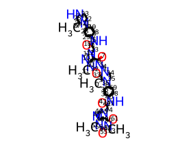 C[C@@H]1CN(Cn2c(=O)c3c(ncn3CC(=O)Nc3ccc(N4CCNC[C@@H]4C)cc3)n(C)c2=O)CCN1c1ccc(NC(=O)Cn2cnc3c2c(=O)n(C)c(=O)n3C)cc1